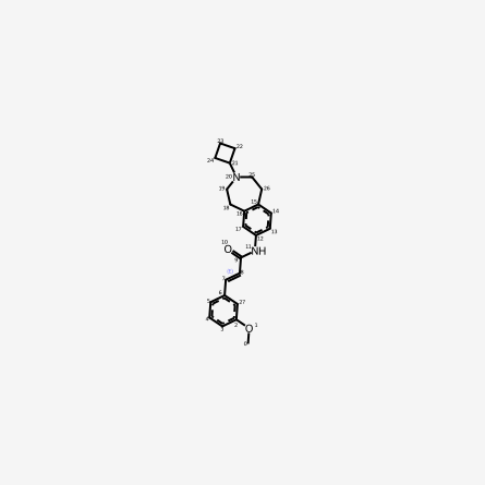 COc1cccc(/C=C/C(=O)Nc2ccc3c(c2)CCN(C2CCC2)CC3)c1